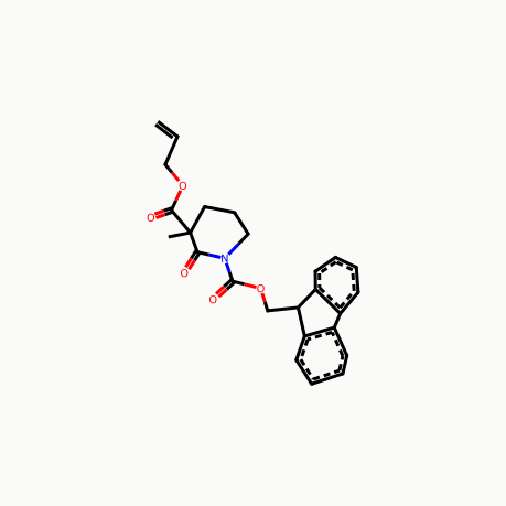 C=CCOC(=O)C1(C)CCCN(C(=O)OCC2c3ccccc3-c3ccccc32)C1=O